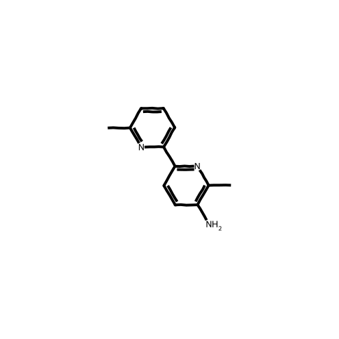 Cc1cccc(-c2ccc(N)c(C)n2)n1